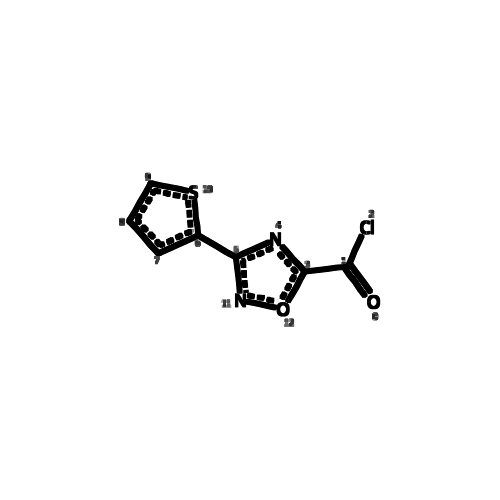 O=C(Cl)c1nc(-c2cccs2)no1